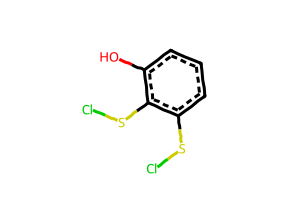 Oc1cccc(SCl)c1SCl